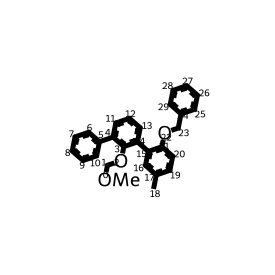 COCOc1c(-c2ccccc2)cccc1-c1cc(C)ccc1OCc1ccccc1